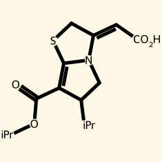 CC(C)OC(=O)C1=C2SCC(=CC(=O)O)N2CC1C(C)C